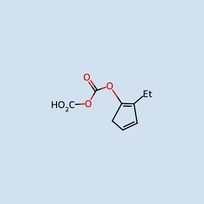 CCC1=C(OC(=O)OC(=O)O)CC=C1